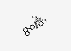 CC1(C)SCCN(S(=O)(=O)c2ccc(-c3cccc4ccccc34)cc2)[C@H]1C(=O)NO